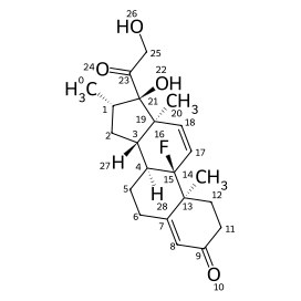 C[C@H]1C[C@H]2[C@@H]3CCC4=CC(=O)CC[C@]4(C)[C@@]3(F)C=C[C@]2(C)[C@@]1(O)C(=O)CO